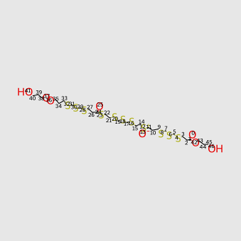 O=C(CCSCSCSCCC[S+]([O-])CCSCSCSCCSC(=O)CCSCSCSCCCOOCCCO)OCCCO